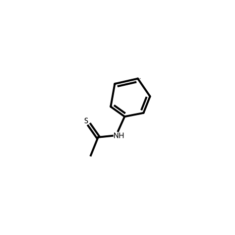 CC(=S)Nc1cc[c]cc1